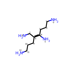 NCCCC(N)=C(CN)CCCN